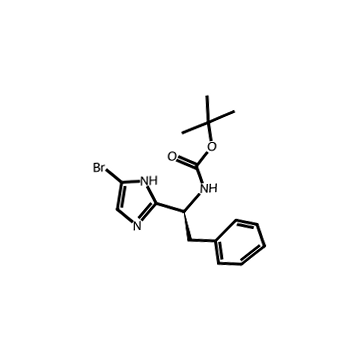 CC(C)(C)OC(=O)N[C@@H](Cc1ccccc1)c1ncc(Br)[nH]1